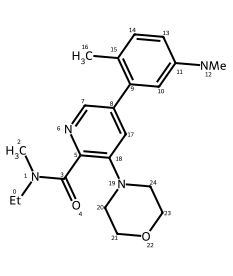 CCN(C)C(=O)c1ncc(-c2cc(NC)ccc2C)cc1N1CCOCC1